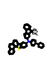 CC1(C)c2ccccc2-c2ccc(N(c3ccc(-c4ccccc4)cc3)c3ccc4sc5c(ccc6ccc7ccccc7c65)c4c3)cc21